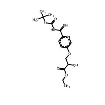 CCOC(=O)C(O)COc1ccc(C(=N)NC(=O)OC(C)(C)C)nc1